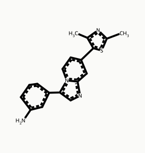 Cc1nc(C)c(-c2ccn3c(-c4cccc(N)c4)cnc3c2)s1